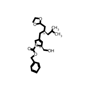 CC(C)C[C@@H](CC1=C[C@@H](CO)N(C(=O)OCc2ccccc2)C1)CC1OCCO1